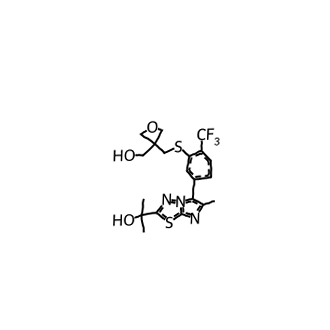 Cc1nc2sc(C(C)(C)O)nn2c1-c1ccc(C(F)(F)F)c(SCC2(CO)COC2)c1